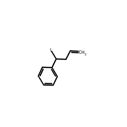 C=CCC(I)c1ccccc1